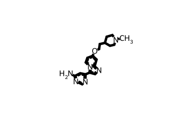 CN1CCC(CCOc2ccn3c(-c4cc(N)ncn4)cnc3c2)CC1